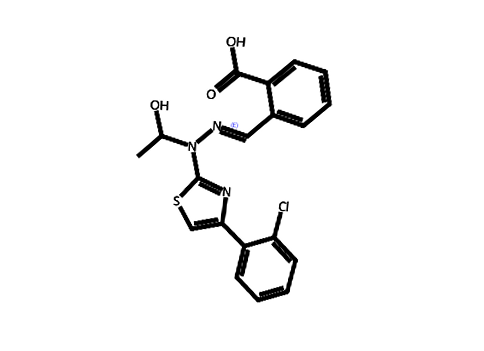 CC(O)N(/N=C/c1ccccc1C(=O)O)c1nc(-c2ccccc2Cl)cs1